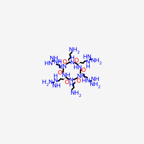 N=C(N)NCCC[C@@H]1NC(=O)[C@H](CCCCN)NC(=O)[C@H](CCCNC(=N)N)NC(=O)[C@H](CCCNC(=N)N)NC(=O)[C@@H](CCCCN)NC(=O)[C@H](CCCNC(=N)N)NC1=O